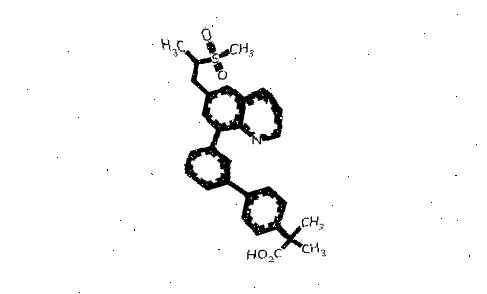 CC(Cc1cc(-c2cccc(-c3ccc(C(C)(C)C(=O)O)cc3)c2)c2ncccc2c1)S(C)(=O)=O